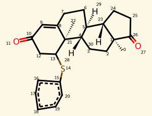 C[C@]12CC[C@H]3[C@@H](CCC4=CC(=O)CC(Sc5ccccc5)[C@@]43C)[C@@H]1CCC2=O